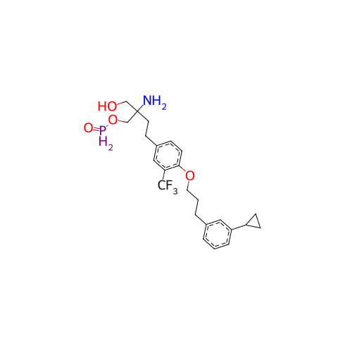 NC(CO)(CCc1ccc(OCCCc2cccc(C3CC3)c2)c(C(F)(F)F)c1)CO[PH2]=O